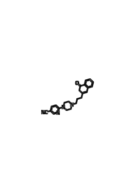 N#Cc1ccc(N2CCN(CCCC3=Cc4ccccc4C(=O)C3)CC2)nc1